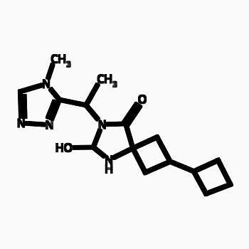 CC(c1nncn1C)N1C(=O)C2(CC(C3CCC3)C2)NC1O